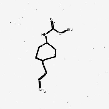 CC(C)(C)OC(=O)NC1CCC(CCN)CC1